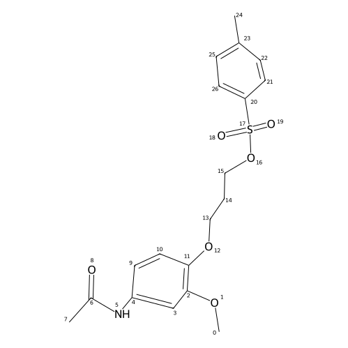 COc1cc(NC(C)=O)ccc1OCCCOS(=O)(=O)c1ccc(C)cc1